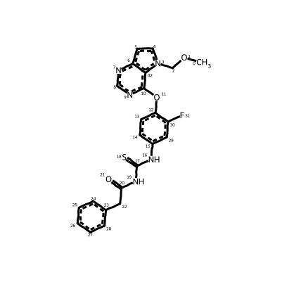 COCn1ccc2ncnc(Oc3ccc(NC(=S)NC(=O)Cc4ccccc4)cc3F)c21